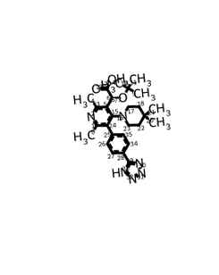 Cc1nc(C)c([C@H](OC(C)(C)C)C(=O)O)c(N2CCC(C)(C)CC2)c1-c1ccc(-c2nnn[nH]2)cc1